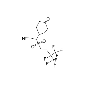 N#CC(C1CCC(=O)CC1)S(=O)(=O)CCC(F)(C(F)(F)F)C(F)(F)F